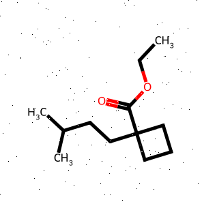 CCOC(=O)C1(CCC(C)C)CCC1